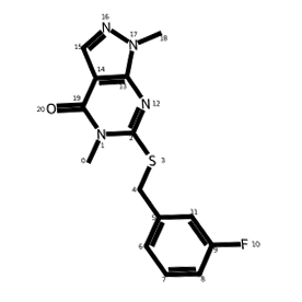 Cn1c(SCc2cccc(F)c2)nc2c(cnn2C)c1=O